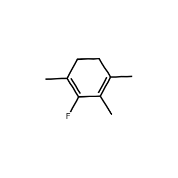 CC1=C(C)C(F)=C(C)CC1